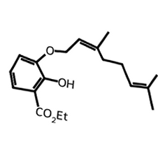 CCOC(=O)c1cccc(OCC=C(C)CCC=C(C)C)c1O